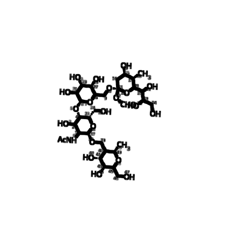 CC(=O)NC1C(O)[C@H](O[C@@H]2OC(CO[C@]3(OC=O)C[C@@H](O)[C@@H](C)C(C(O)C(O)CO)O3)[C@H](O)[C@H](O)C2O)[C@H](CO)O[C@H]1OCC1[C@@H](O)[C@H](O)C(CO)O[C@@H]1C